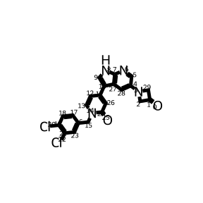 O=C1CN(c2cnc3[nH]cc(-c4ccn(Cc5ccc(Cl)c(Cl)c5)c(=O)c4)c3c2)C1